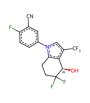 N#Cc1cc(-n2cc(C(F)(F)F)c3c2CCC(F)(F)[C@@H]3O)ccc1F